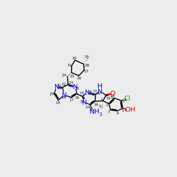 C[C@@]1(c2ccc(O)c(Cl)c2)C(=O)Nc2nc(-c3cn4ccnc4c(C[C@H]4CC[C@@H](C)CC4)n3)nc(N)c21